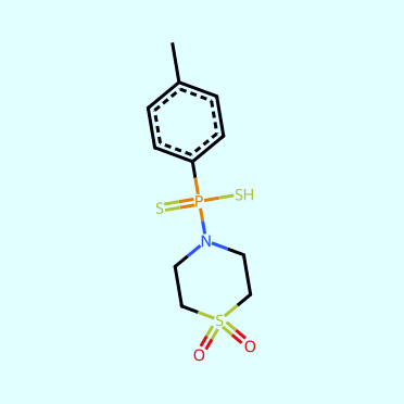 Cc1ccc(P(=S)(S)N2CCS(=O)(=O)CC2)cc1